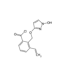 C=Cc1cccc(C(=O)Cl)c1COc1ccn(O)n1